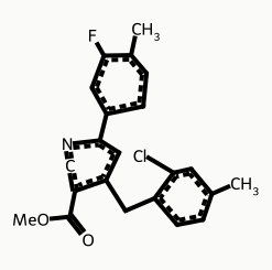 COC(=O)c1cnc(-c2ccc(C)c(F)c2)cc1Cc1ccc(C)cc1Cl